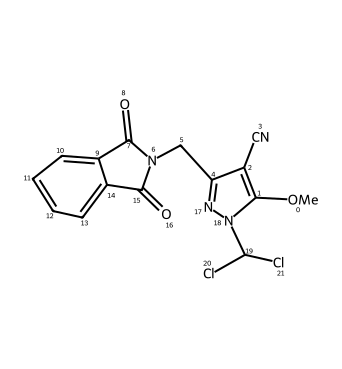 COc1c(C#N)c(CN2C(=O)c3ccccc3C2=O)nn1C(Cl)Cl